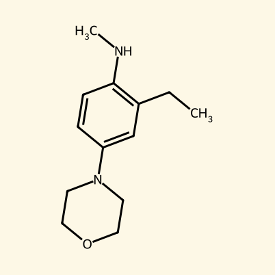 CCc1cc(N2CCOCC2)ccc1NC